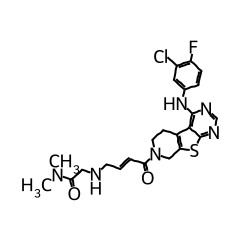 CN(C)C(=O)CNC/C=C/C(=O)N1CCc2c(sc3ncnc(Nc4ccc(F)c(Cl)c4)c23)C1